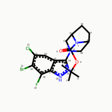 CC(C)(C)OC(=O)N1C2CCC1CN(c1n[nH]c3c(F)c(Br)c(Cl)cc13)C2